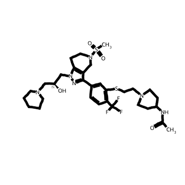 CC(=O)NC1CCN(CCSc2cc(-c3nn(C[C@@H](O)CN4CCCCC4)c4c3CN(S(C)(=O)=O)CC4)ccc2C(F)(F)F)CC1